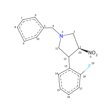 O=[N+]([O-])[C@@H]1CN(Cc2ccccc2)CC1c1ccccc1F